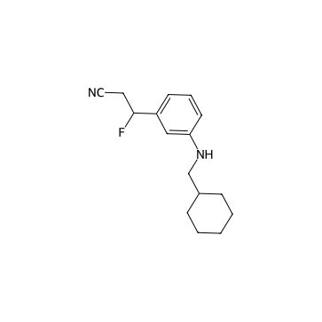 N#CCC(F)c1cccc(NCC2CCCCC2)c1